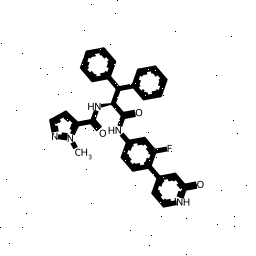 Cn1nccc1C(=O)N[C@H](C(=O)Nc1ccc(-c2cc[nH]c(=O)c2)c(F)c1)C(c1ccccc1)c1ccccc1